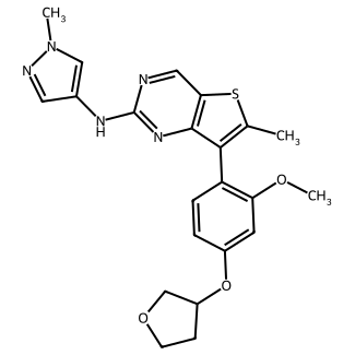 COc1cc(OC2CCOC2)ccc1-c1c(C)sc2cnc(Nc3cnn(C)c3)nc12